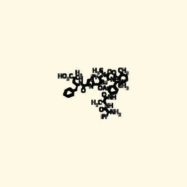 C=C1CCC[N+](C)(Cc2ccc(NC(=O)[C@H](C)NC(=O)[C@@H](N)C(C)C)cc2)[C@H]1C(=O)N[C@H](C(=O)N(C)[C@H](C[C@@H](OC(C)=O)c1nc(C(=O)N[C@@H](Cc2ccccc2)C[C@H](C)C(=O)O)cs1)C(C)C)[C@@H](C)CC